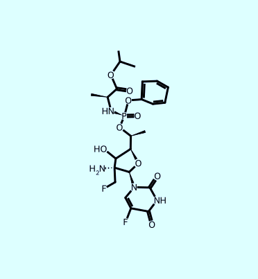 CC(C)OC(=O)[C@H](C)N[P@](=O)(Oc1ccccc1)O[C@@H](C)[C@H]1O[C@@H](n2cc(F)c(=O)[nH]c2=O)[C@@](N)(CF)C1O